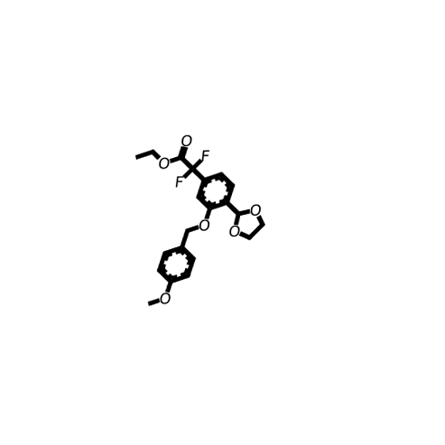 CCOC(=O)C(F)(F)c1ccc(C2OCCO2)c(OCc2ccc(OC)cc2)c1